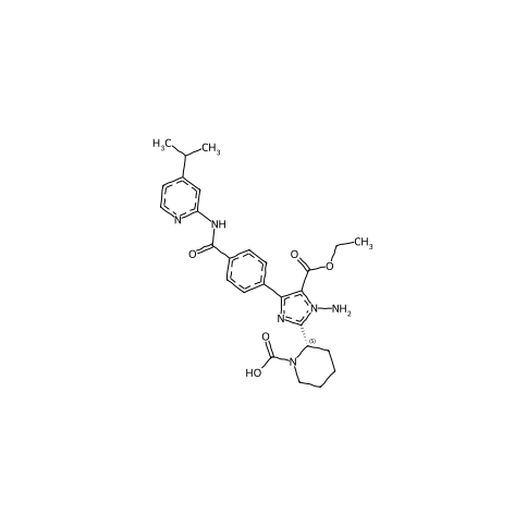 CCOC(=O)c1c(-c2ccc(C(=O)Nc3cc(C(C)C)ccn3)cc2)nc([C@@H]2CCCCN2C(=O)O)n1N